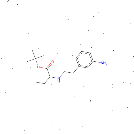 CCC(NCCc1cccc(N)c1)C(=O)OC(C)(C)C